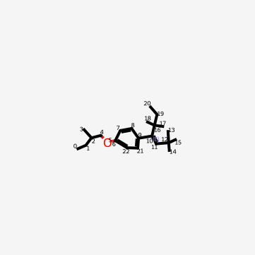 CCC(C)COc1ccc(/C(=C/C(C)(C)C)C(C)(C)CC)cc1